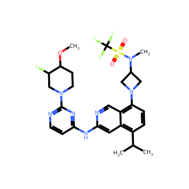 COC1CCN(c2nccc(Nc3cc4c(C(C)C)ccc(N5CC(N(C)S(=O)(=O)C(F)(F)F)C5)c4cn3)n2)CC1F